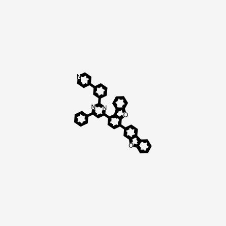 c1ccc(-c2cc(-c3ccc(-c4ccc5c(c4)oc4ccccc45)c4oc5ccccc5c34)nc(-c3cccc(-c4ccncc4)c3)n2)cc1